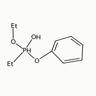 CCO[PH](O)(CC)Oc1ccccc1